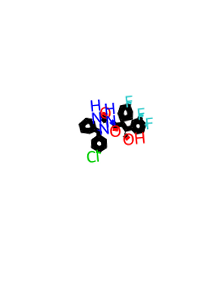 O=C1Nc2ccccc2C(c2ccc(Cl)cc2)=NC1NC(=O)[C@H](c1ccc(F)cc1)[C@@H](CO)c1ccc(F)c(F)c1